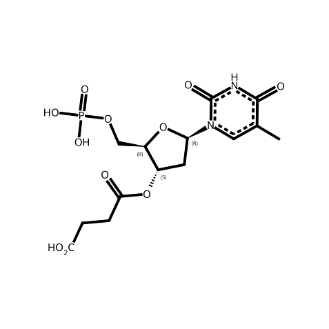 Cc1cn([C@H]2C[C@H](OC(=O)CCC(=O)O)[C@@H](COP(=O)(O)O)O2)c(=O)[nH]c1=O